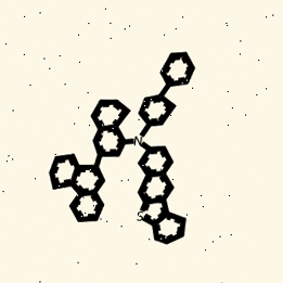 c1ccc(-c2ccc(N(c3ccc4cc5c(cc4c3)sc3ccccc35)c3cc(-c4cc5ccccc5c5ccccc45)cc4ccccc34)cc2)cc1